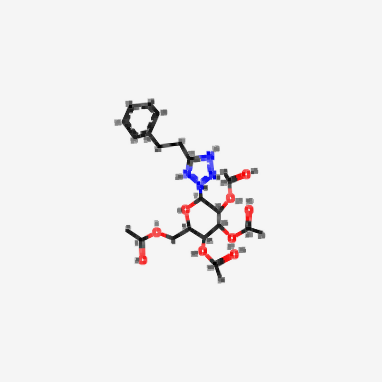 CC(=O)OCC1OC(n2nnc(CCc3ccccc3)n2)C(OC(C)=O)C(OC(C)=O)C1OC(C)=O